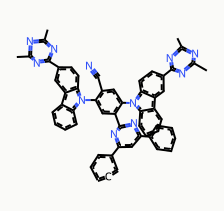 Cc1nc(C)nc(-c2ccc3c(c2)c2ccccc2n3-c2cc(-c3nc(-c4ccccc4)cc(-c4ccccc4)n3)c(-n3c4ccccc4c4cc(-c5nc(C)nc(C)n5)ccc43)cc2C#N)n1